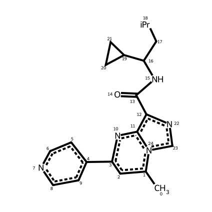 Cc1cc(-c2ccncc2)nc2c(C(=O)NC(CC(C)C)C3CC3)ncn12